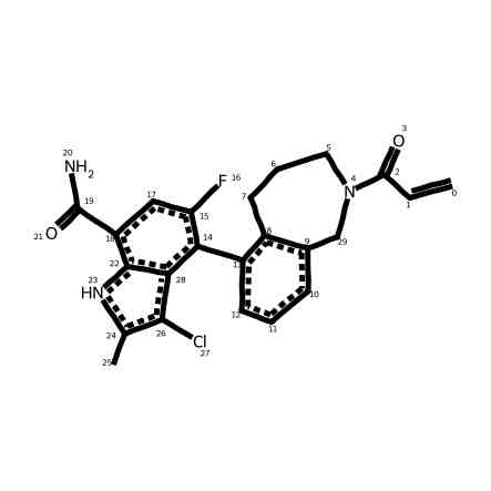 C=CC(=O)N1CCCc2c(cccc2-c2c(F)cc(C(N)=O)c3[nH]c(C)c(Cl)c23)C1